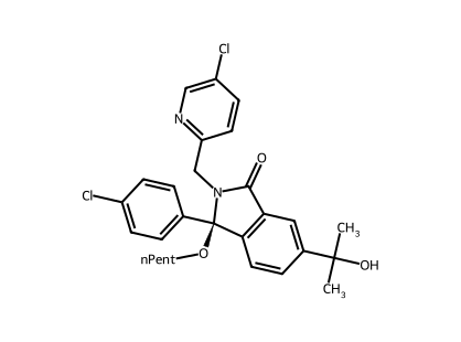 CCCCCO[C@]1(c2ccc(Cl)cc2)c2ccc(C(C)(C)O)cc2C(=O)N1Cc1ccc(Cl)cn1